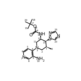 C[C@H]1CN(c2ccncc2N)C[C@@H](NC(=O)OC(C)(C)C)[C@H]1n1cncn1